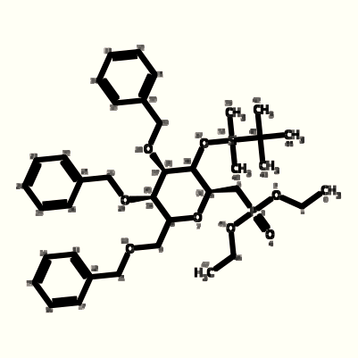 CCOP(=O)(C[C@H]1OC(COCc2ccccc2)[C@@H](OCc2ccccc2)[C@@H](OCc2ccccc2)C1O[Si](C)(C)C(C)(C)C)OCC